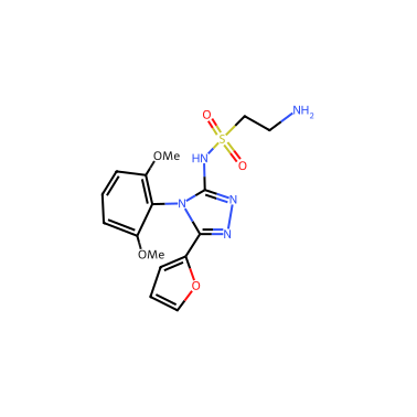 COc1cccc(OC)c1-n1c(NS(=O)(=O)CCN)nnc1-c1ccco1